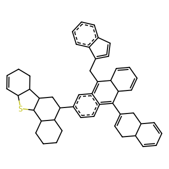 C1=Cc2ccccc2C=1CC1=c2cc(C3CC4C5CCC=CC5SC4C4CCCCC34)ccc2=C(C2=CCC3C=CC=CC3C2)C2C=CC=CC12